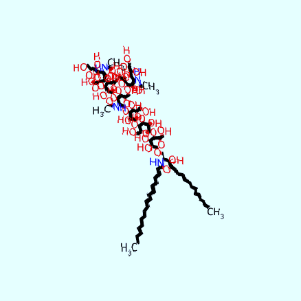 CCCCCCCCCCCCC/C=C/[C@@H](O)[C@H](CO[C@@H]1OC(CO)[C@@H](O[C@@H]2OC(CO)[C@H](O[C@@H]3OC(CO)[C@H](O)[C@H](O[C@@H]4OC(CO)[C@H](O)[C@H](O[C@@H]5OC(CO[C@]6(C(=O)O)CC(O)[C@@H](NC(C)=O)C([C@H](O)[C@H](O)CO)O6)[C@H](O)[C@H](O[C@]6(C(=O)O)CC(O)[C@@H](NC(C)=O)C([C@H](O)[C@H](O)CO)O6)C5O)C4NC(C)=O)C3O)[C@H](O)C2O)[C@H](O)C1O)NC(=O)CCCCCCCCCCCCCCCCCCC